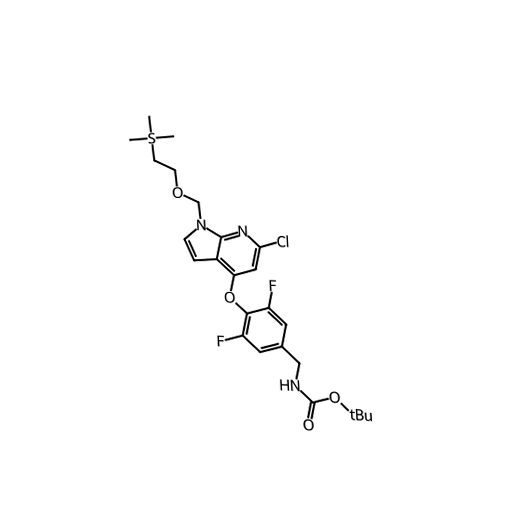 CC(C)(C)OC(=O)NCc1cc(F)c(Oc2cc(Cl)nc3c2ccn3COCCS(C)(C)C)c(F)c1